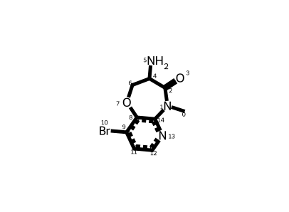 CN1C(=O)C(N)COc2c(Br)ccnc21